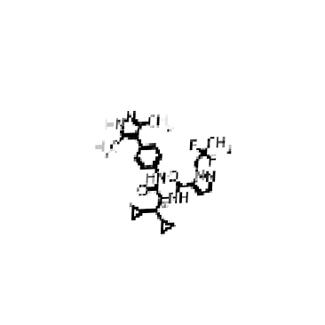 Cc1n[nH]c(C)c1-c1ccc(NC(=O)[C@@H](NC(=O)c2ccnn2CC(C)(F)F)C(C2CC2)C2CC2)cc1